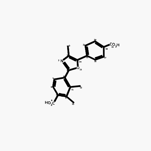 Cc1nc(-c2ccc(C(=O)O)c(C)c2C)oc1-c1ccc(C(=O)O)cc1